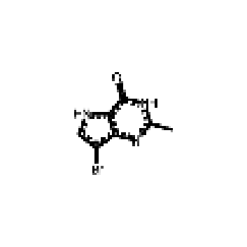 Cc1nc2c(Br)c[nH]c2c(=O)[nH]1